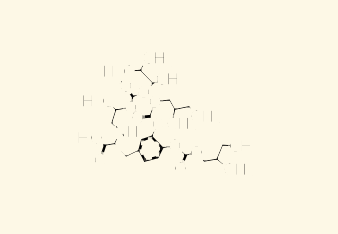 CCC(C)COC(=O)Oc1ccc(C[C@H](NCC(C)OC(=O)OC(C)C(C)C)C(=O)O)cc1OC(=O)OCC(C)CC